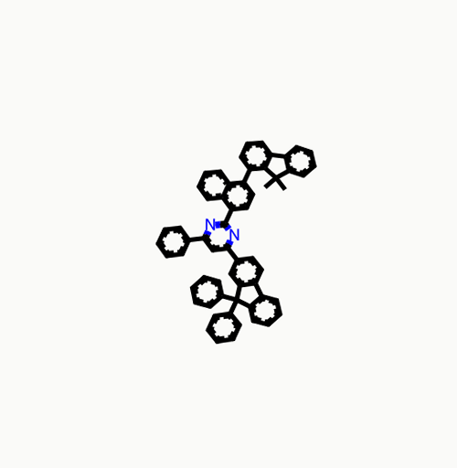 CC1(C)c2ccccc2-c2cccc(-c3ccc(-c4nc(-c5ccccc5)cc(-c5ccc6c(c5)C(c5ccccc5)(c5ccccc5)c5ccccc5-6)n4)c4ccccc34)c21